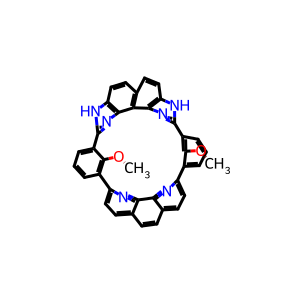 COc1c2cccc1c1nc3c(ccc4ccc5[nH]c(nc5c43)c3cccc(c3OC)c3ccc4ccc5ccc2nc5c4n3)[nH]1